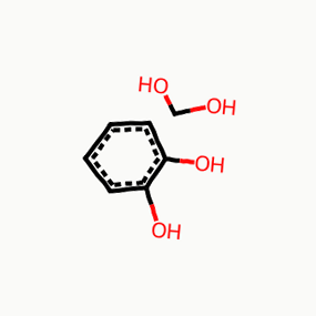 OCO.Oc1ccccc1O